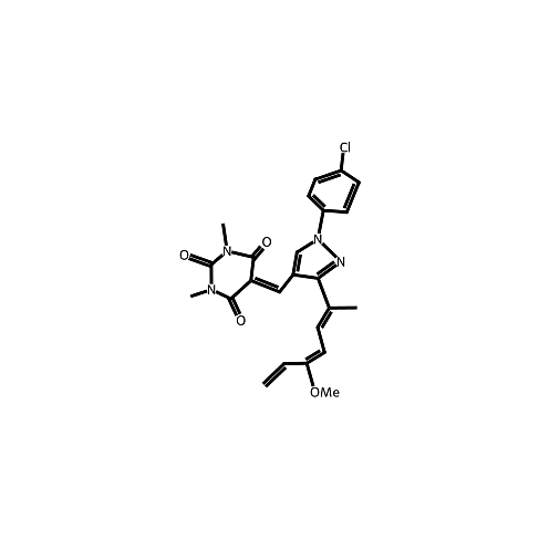 C=C/C(=C\C=C(/C)c1nn(-c2ccc(Cl)cc2)cc1C=C1C(=O)N(C)C(=O)N(C)C1=O)OC